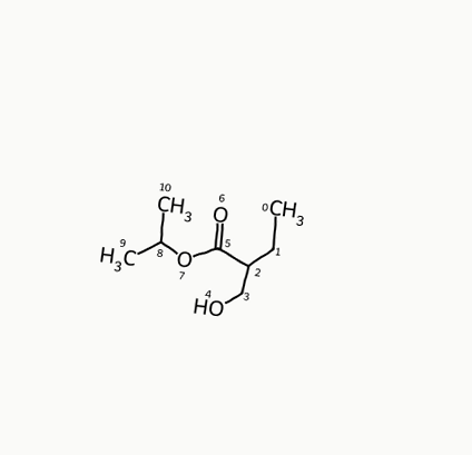 CCC(CO)C(=O)OC(C)C